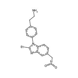 CCc1nc2cc(C[SH](=O)=O)ccc2n1-c1ccc(CCN)cc1